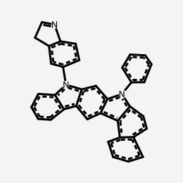 C1=Nc2ccc(-n3c4ccccc4c4cc5c6c7ccccc7ccc6n(-c6ccccc6)c5cc43)cc2C1